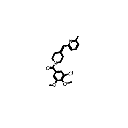 COc1cc(C(=O)N2CCC(=Cc3cccc(C)n3)CC2)cc(Cl)c1OC